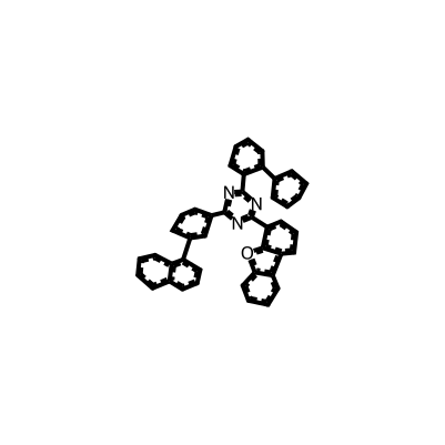 c1ccc(-c2ccccc2-c2nc(-c3cccc(-c4cccc5ccccc45)c3)nc(-c3cccc4c3oc3ccccc34)n2)cc1